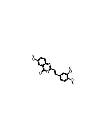 COc1ccc2nc(C=Cc3ccc(OC)c(OC)c3)oc(=O)c2c1